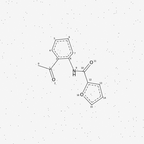 CC(=O)c1ccccc1NC(=O)c1ccco1